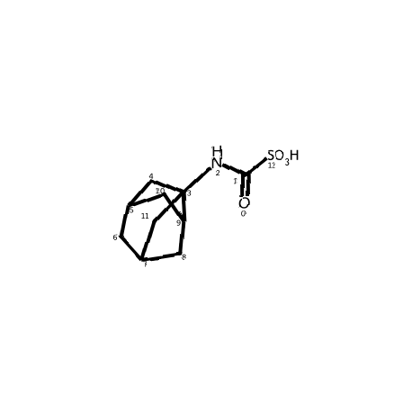 O=C(NC12CC3CC(CC1C3)C2)S(=O)(=O)O